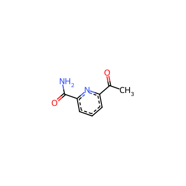 CC(=O)c1cccc(C(N)=O)n1